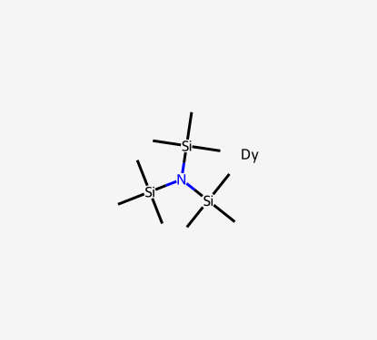 C[Si](C)(C)N([Si](C)(C)C)[Si](C)(C)C.[Dy]